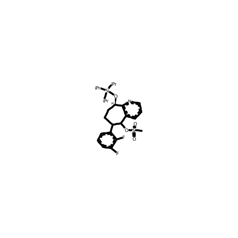 CC(C)[Si](O[C@@H]1CCC(c2cccc(F)c2F)C(OS(C)(=O)=O)c2cccnc21)(C(C)C)C(C)C